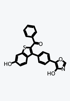 O=C(c1ccccc1)c1sc2cc(O)ccc2c1-c1ccc(-c2ocnc2O)cc1